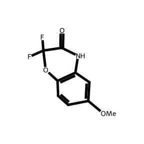 COc1ccc2c(c1)NC(=O)C(F)(F)O2